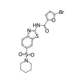 O=C(Nc1nc2ccc(S(=O)(=O)N3CCCCC3)cc2s1)c1ccc(Br)o1